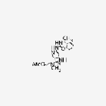 COCCN(C)c1n[nH]c2cc(NC(=O)N[C@H](C)c3ccccc3)ncc12